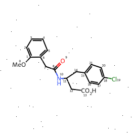 COc1ccccc1CC(=O)NC(CC(=O)O)Cc1ccc(Cl)cc1